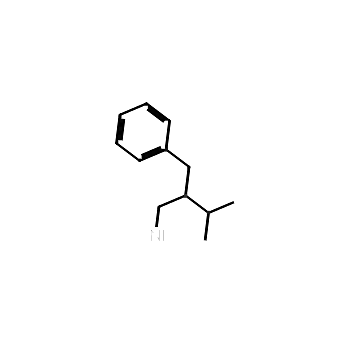 CC(C)C(CN)Cc1ccccc1